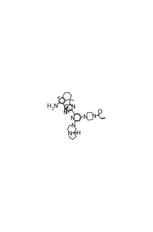 C=CC(=O)N1CCN(c2cc(-c3noc(C4(C)CCCc5sc(N)c(C#N)c54)n3)nc(N3CCN4CCC[C@@H]4C3)c2)CC1